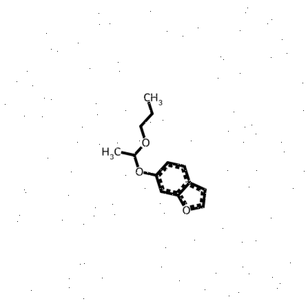 CCCOC(C)Oc1ccc2ccoc2c1